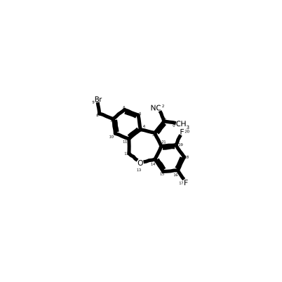 C/C(C#N)=C1/c2ccc(CBr)cc2COc2cc(F)cc(F)c21